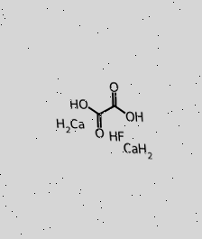 F.O=C(O)C(=O)O.[CaH2].[CaH2]